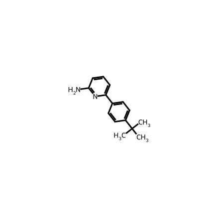 CC(C)(C)c1ccc(-c2cccc(N)n2)cc1